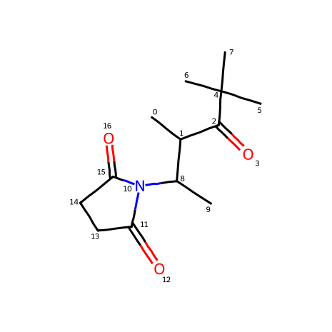 CC(C(=O)C(C)(C)C)C(C)N1C(=O)CCC1=O